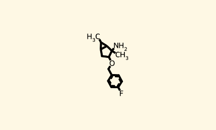 CC1C2CC(OCc3ccc(F)cc3)C(C)(N)C12